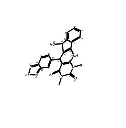 Cn1c2c(c(=O)n(C)c1=O)C(c1ccc3nsnc3c1)C1=C(N2)c2ccccc2C1O